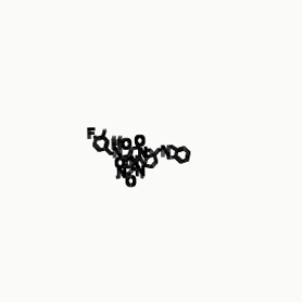 Cc1cc(CNC(=O)c2nc3n(c(=O)c2O)CC2(CN4Cc5ccccc5C4)CCC3(N(C)C(=O)C(=O)N(C)C)CC2)ccc1F